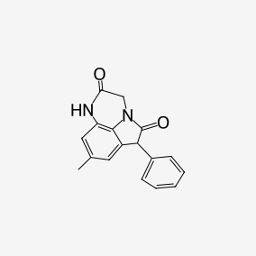 Cc1cc2c3c(c1)C(c1ccccc1)C(=O)N3CC(=O)N2